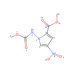 COC(=O)Nn1cc([N+](=O)[O-])cc1C(=O)OC